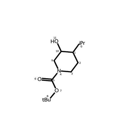 CC(C)C1CCN(C(=O)OC(C)(C)C)CC1O